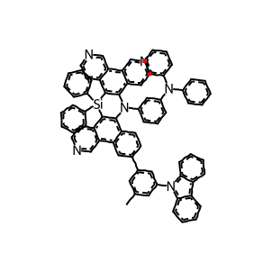 Cc1cc(-c2ccc3c4c(c5ccncc5c3c2)[Si](c2ccccc2)(c2ccccc2)c2c(c3ccncc3c3cnccc23)N4c2cccc(N(c3ccccc3)c3ccccc3)c2)cc(-n2c3ccccc3c3ccccc32)c1